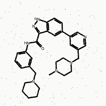 CN1CCN(Cc2cncc(-c3ccc4[nH]nc(C(=O)Nc5cccc(CN6CCCCC6)c5)c4c3)c2)CC1